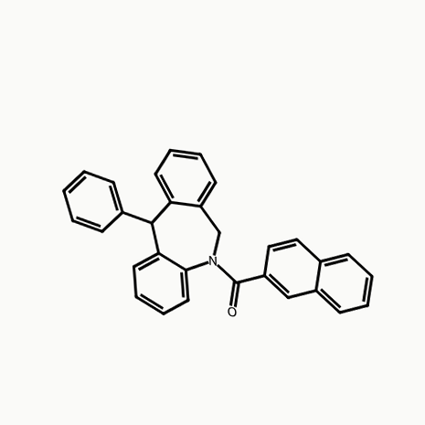 O=C(c1ccc2ccccc2c1)N1Cc2ccccc2C(c2ccccc2)c2ccccc21